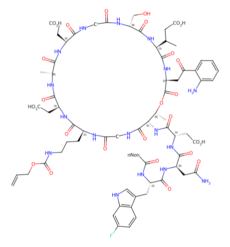 C=CCOC(=O)NCCC[C@@H]1NC(=O)CNC(=O)[C@@H](NC(=O)[C@H](CC(=O)O)NC(=O)[C@@H](CC(N)=O)NC(=O)[C@H](Cc2c[nH]c3cc(F)ccc23)NC(=O)CCCCCCCCC)[C@@H](C)OC(=O)[C@H](CC(=O)c2ccccc2N)NC(=O)[C@H](C(C)CC(=O)O)NC(=O)[C@@H](CO)NC(=O)CNC(=O)[C@H](CC(=O)O)NC(=O)[C@@H](C)NC(=O)[C@H](CC(=O)O)NC1=O